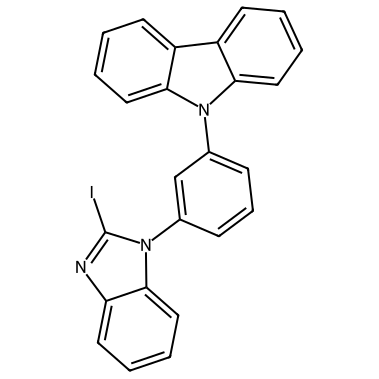 Ic1nc2ccccc2n1-c1cccc(-n2c3ccccc3c3ccccc32)c1